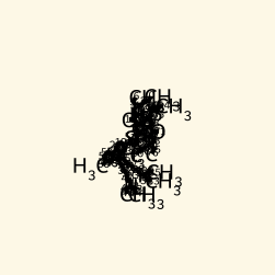 CCCCC(CC)CN1C(=O)c2cc(-c3ccc(-c4ccc5c(c4)C(CCCCCCN(CC)CC)(CCCCCCN(CC)CC)c4cc(C)ccc4-5)s3)c3c4c(cc(-c5ccc(C)s5)c(c24)C1=O)C(=O)N(CC(CC)CCCC)C3=O